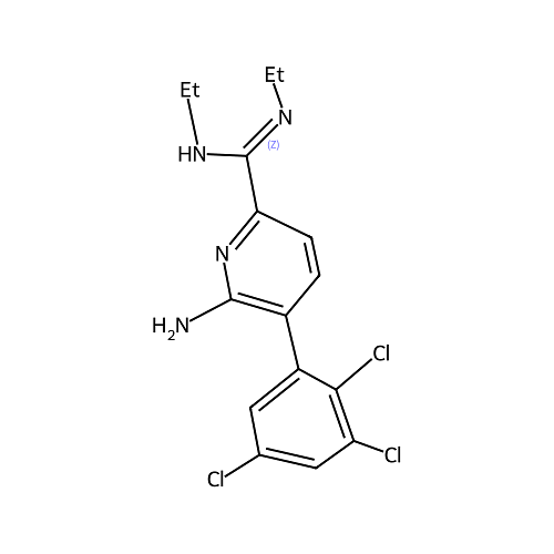 CC/N=C(\NCC)c1ccc(-c2cc(Cl)cc(Cl)c2Cl)c(N)n1